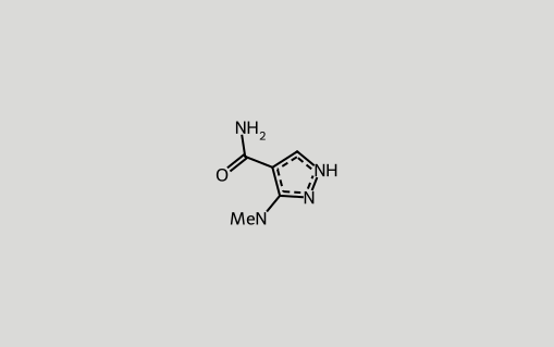 CNc1n[nH]cc1C(N)=O